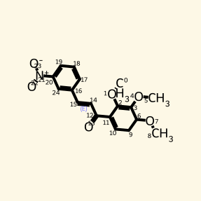 COC1=C(OC)C(OC)CC=C1C(=O)/C=C/c1cccc([N+](=O)[O-])c1